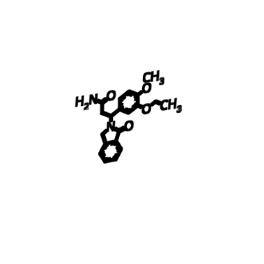 CCOc1cc(C(CC(N)=O)N2Cc3ccccc3C2=O)ccc1OC